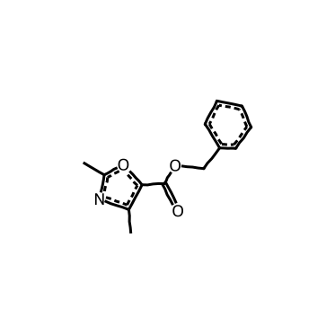 Cc1nc(C)c(C(=O)OCc2ccccc2)o1